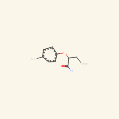 CCCCCCCCCCC(Oc1ccc(OC(C)=O)cc1)C([NH])=O